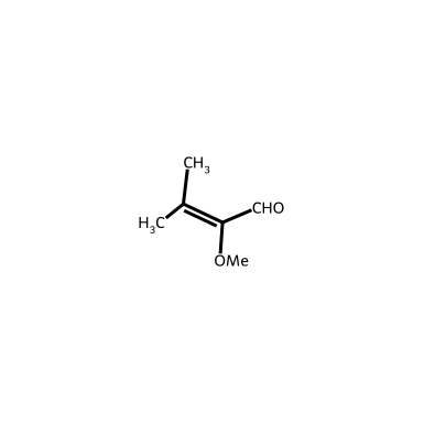 COC(C=O)=C(C)C